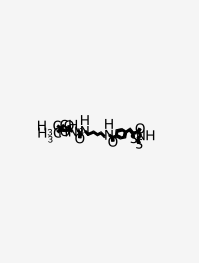 CC(C)(C)OC(=O)NCC(=O)NCCCCCNC(=O)c1ccc(/C=C2\SC(=S)NC2=O)cc1